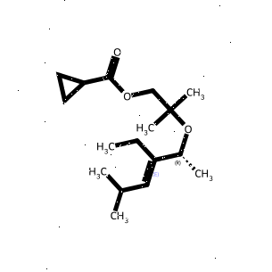 CC/C(=C\C(C)C)[C@@H](C)OC(C)(C)COC(=O)C1CC1